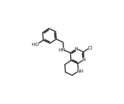 Oc1cccc(CNc2nc(Cl)nc3c2CCCN3)c1